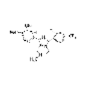 CNC(=O)C(NC(=O)c1nc(-c2ccc(C(F)(F)F)cc2F)n2c1CN(C)CC2)C(C)(C)C